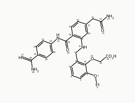 CCOc1cccc(CNc2cc(CC(N)=O)ccc2C(=O)Nc2ccc(C(=N)N)cc2)c1OCC(=O)O